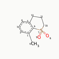 Cc1cccc2c1S(=O)(=O)CCC2